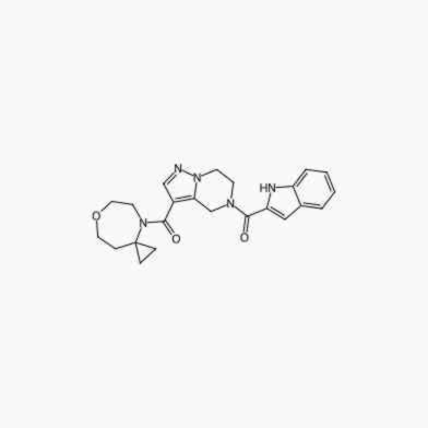 O=C(c1cc2ccccc2[nH]1)N1CCn2ncc(C(=O)N3CCOCCC34CC4)c2C1